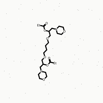 CCC(=O)OC(COCCCCOCC(CN1CCOCC1)OC(=O)CC)CN1CCOCC1